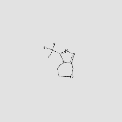 FC(F)(F)c1nnc2n1CC[N]C2